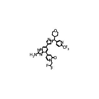 Nc1nc2c(-c3ccn(CC(F)F)c(=O)c3)cc(-c3cnn(C(c4ccc(C(F)(F)F)nc4)C4CCOCC4)c3)cn2n1